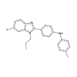 CCCn1c(-c2ccc(Nc3ccc(C)cc3)cc2)nc2ccc(F)cc21